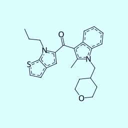 CCCn1c(C(=O)c2c(C)n(CC3CCOCC3)c3ccccc23)cc2ccsc21